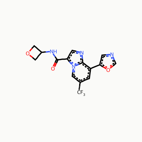 O=C(NC1COC1)c1cnc2c(-c3cnco3)cc(C(F)(F)F)cn12